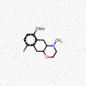 COc1ccc(I)c2c1CC1C(C2)OCCN1C